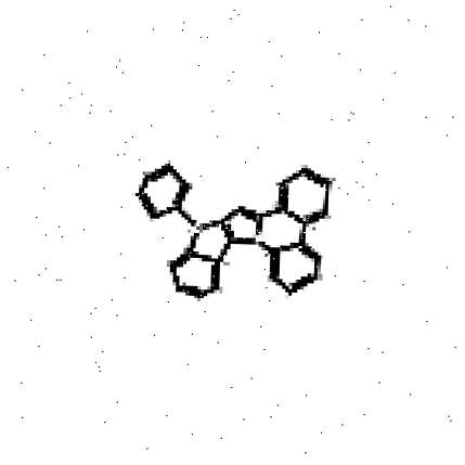 c1ccc(-n2c3ccccc3c3c2cc2c4ccccc4c4ccccc4n23)cc1